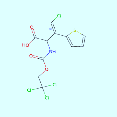 O=C(NC(C(=O)O)/C(=C/Cl)c1cccs1)OCC(Cl)(Cl)Cl